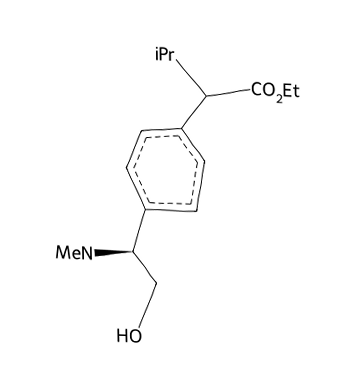 CCOC(=O)C(c1ccc([C@@H](CO)NC)cc1)C(C)C